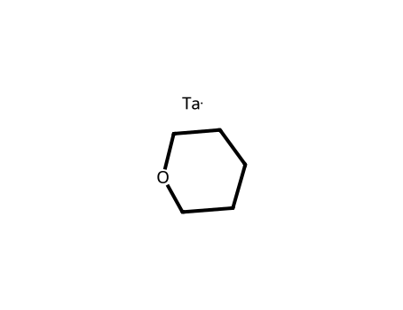 C1CCOCC1.[Ta]